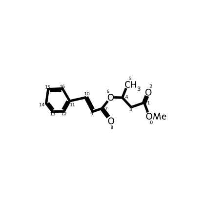 COC(=O)CC(C)OC(=O)C=Cc1ccccc1